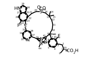 C[C@@H](Cc1cccc([C@@]2(C)CCCC(C)(C)CS(=O)(=O)CCc3c(c(F)cc4[nH]ccc34)Sc3ccnc(c3)-c3nc2nn3C)c1F)C(=O)O